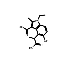 CCn1c(C)c(C(=O)O)c2c(C(C)C(=O)O)c(O)ccc21